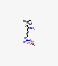 CS(=O)(=O)NC(=N)NCCCC[C@H](N)C(=O)N1CSC[C@H]1C#N